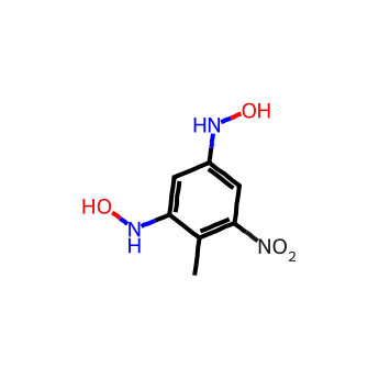 Cc1c(NO)cc(NO)cc1[N+](=O)[O-]